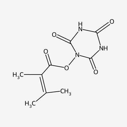 CC(C)=C(C)C(=O)On1c(=O)[nH]c(=O)[nH]c1=O